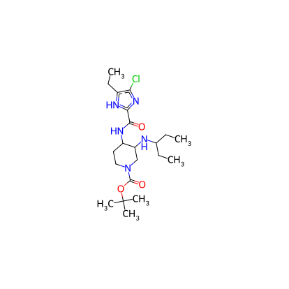 CCc1[nH]c(C(=O)NC2CCN(C(=O)OC(C)(C)C)CC2NC(CC)CC)nc1Cl